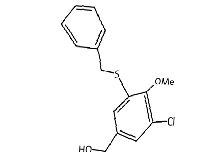 COc1c(Cl)cc(CO)cc1SCc1ccccc1